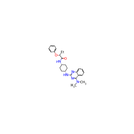 CCC(Oc1ccccc1)C(=O)N[C@H]1CC[C@@H](Nc2nc(N(C)C)c3ccccc3n2)CC1